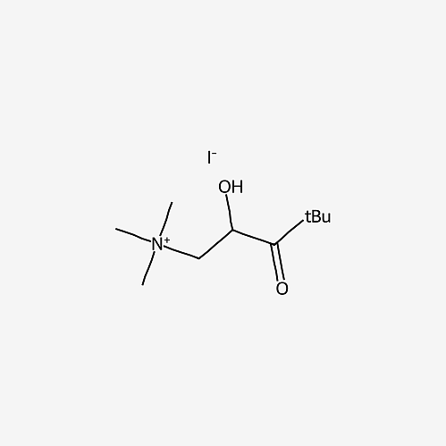 CC(C)(C)C(=O)C(O)C[N+](C)(C)C.[I-]